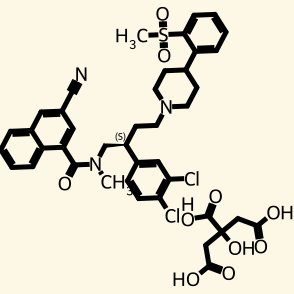 CN(C[C@@H](CCN1CCC(c2ccccc2S(C)(=O)=O)CC1)c1ccc(Cl)c(Cl)c1)C(=O)c1cc(C#N)cc2ccccc12.O=C(O)CC(O)(CC(=O)O)C(=O)O